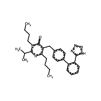 CCCCc1nc(C(C)C)n(CCCC)c(=O)c1Cc1ccc(-c2ccccc2-c2nnn[nH]2)cc1